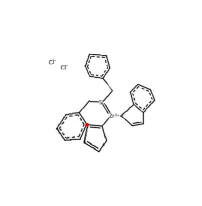 C1=CC[C]([Zr+2]([CH]2C=Cc3ccccc32)=[Si](Cc2ccccc2)Cc2ccccc2)=C1.[Cl-].[Cl-]